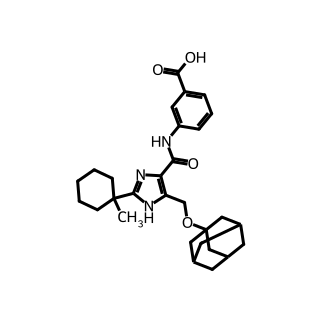 CC1(c2nc(C(=O)Nc3cccc(C(=O)O)c3)c(COC34CC5CC(CC(C5)C3)C4)[nH]2)CCCCC1